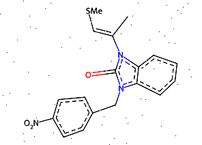 CSC=C(C)n1c(=O)n(Cc2ccc([N+](=O)[O-])cc2)c2ccccc21